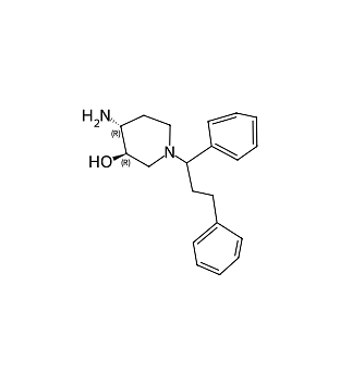 N[C@@H]1CCN(C(CCc2ccccc2)c2ccccc2)C[C@H]1O